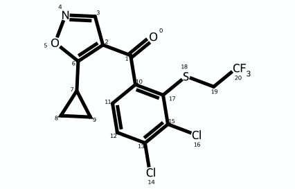 O=C(c1cnoc1C1CC1)c1ccc(Cl)c(Cl)c1SCC(F)(F)F